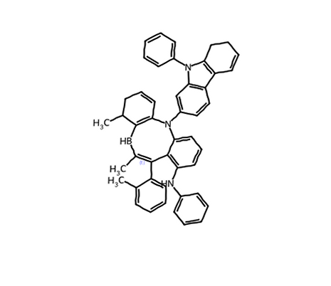 C/C1=C(\c2ccccc2C)c2c(Nc3ccccc3)cccc2N(c2ccc3c4c(n(-c5ccccc5)c3c2)CCC=C4)C2=C(B1)C(C)CC=C2